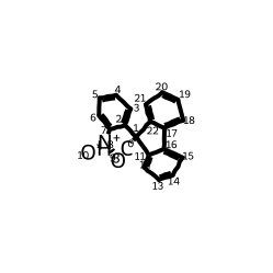 CC1(c2ccccc2[N+](=O)[O-])c2ccccc2-c2ccccc21